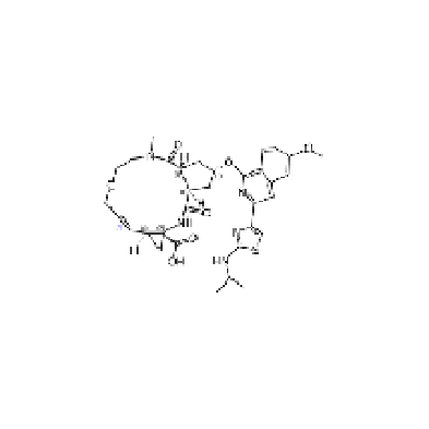 COc1ccc2c(O[C@@H]3C[C@H]4C(=O)N[C@]5(C(=O)O)C[C@H]5/C=C\CCCCN(C)C(=O)[C@@H]4C3)nc(-c3csc(NC(C)C)n3)cc2c1